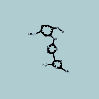 CCOC(=O)c1ccc(OCC)c(Nc2nc(-c3sc(N)nc3C)cs2)c1